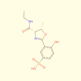 CCNC(=O)[C@H]1N=C(c2cc(S(=O)(=O)O)ccc2O)O[C@H]1C